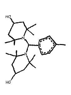 Cc1ccc(C(N2C(C)(C)CC(O)CC2(C)C)N2C(C)(C)CC(O)CC2(C)C)cc1